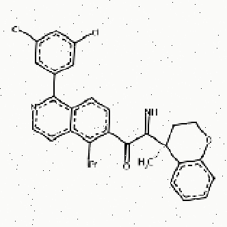 CC(C)c1c(C(=O)C(=N)[C@@]2(C)CCOc3ccccc32)ccc2c(-c3cc(Cl)cc(Cl)c3)nccc12